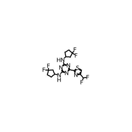 FC(F)c1csc(-c2nc(NC3CCC(F)(F)C3)nc(NC3CCC(F)(F)C3)n2)n1